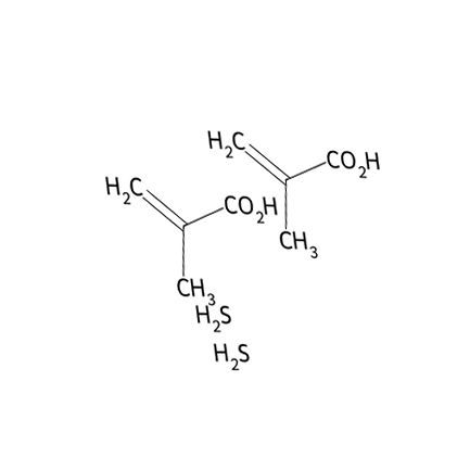 C=C(C)C(=O)O.C=C(C)C(=O)O.S.S